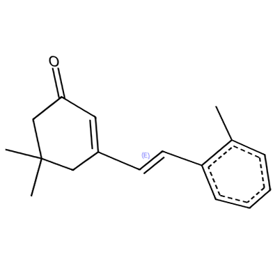 Cc1ccccc1/C=C/C1=CC(=O)CC(C)(C)C1